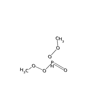 COO[PH](=O)OOC